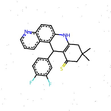 CC1(C)CC(=S)C2=C(C1)Nc1ccc3ncccc3c1C2c1ccc(F)c(F)c1